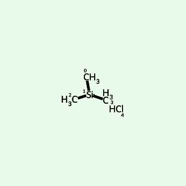 C[Si](C)C.Cl